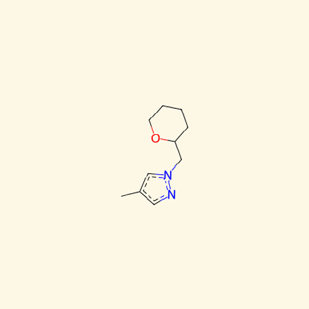 Cc1cnn(CC2CCCCO2)c1